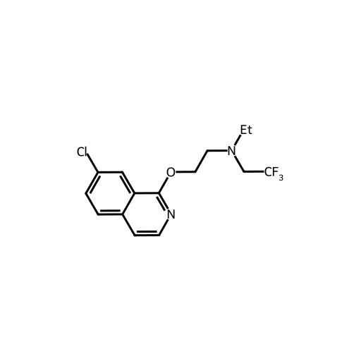 CCN(CCOc1nccc2ccc(Cl)cc12)CC(F)(F)F